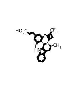 C[C@H]1Cc2c([nH]c3ccccc23)[C@H](c2c(F)cc(/C=C/C(=O)O)cc2F)N1C12CC(C(F)(F)F)(C1)C2